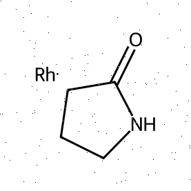 O=C1CCCN1.[Rh]